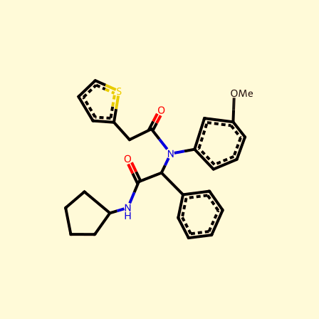 COc1cccc(N(C(=O)Cc2cccs2)C(C(=O)NC2CCCC2)c2ccccc2)c1